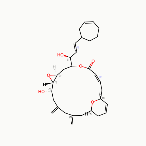 C=C1C[C@H](C)C[C@@H]2CC=C[C@@H](C/C=C\C(=O)OC([C@@H](O)/C=C/C3CC=CCCC3)C[C@@H]3O[C@H]3[C@@H](O)C1)O2